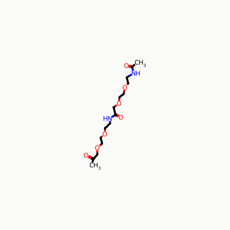 CC(=O)COCCOCCNC(=O)COCCOCCNC(C)=O